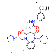 O=C(Nc1cccc(C(=O)O)c1)NC1C(=O)N(CC(=O)N2CCCC2)c2ccccc2N(C2CCCCC2)C1=O